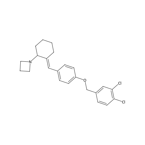 Clc1ccc(COc2ccc(C=C3CCCCC3N3CCC3)cc2)cc1Cl